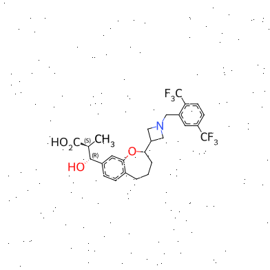 C[C@H](C(=O)O)[C@@H](O)c1ccc2c(c1)OC(C1CN(Cc3cc(C(F)(F)F)ccc3C(F)(F)F)C1)CCC2